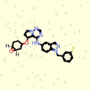 Fc1cccc(Cn2ncc3cc(Nc4ncnn5ccc(OC6CC[C@@H]7O[C@@H]7C6)c45)ccc32)c1